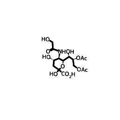 CC(=O)OC[C@@H](OC(C)=O)[C@@H](O)[C@@H]1OC(O)(C(=O)O)C[C@H](O)[C@H]1NC(=O)CO